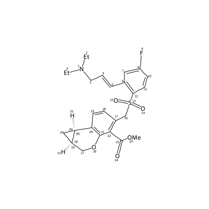 CCN(CC)CC=Cc1cc(F)ccc1S(=O)(=O)Cc1ccc2c(c1C(=O)OC)OC[C@H]1C[C@@H]21